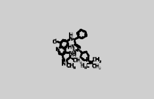 CC[C@H](C)Nc1c(C#N)cnc2c(Cl)cc(N[C@H](C3=CN(C4CCN(C(C)(C)C)CC4)NN3)c3ccccc3)cc12